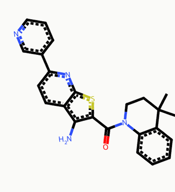 CC1(C)CCN(C(=O)c2sc3nc(-c4cccnc4)ccc3c2N)c2ccccc21